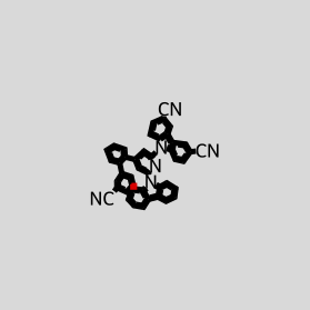 N#Cc1cccc(-c2ccccc2-c2cc(-n3c4ccccc4c4ccccc43)nc(-n3c4ccc(C#N)cc4c4cc(C#N)ccc43)c2)c1